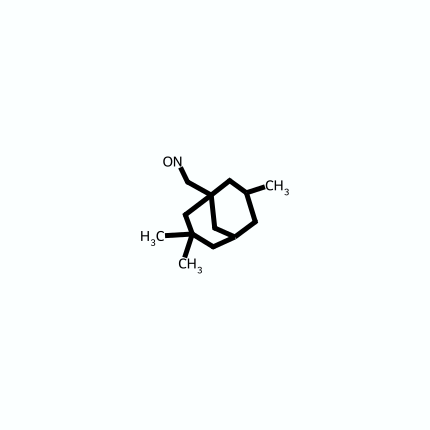 CC1CC2CC(C)(C)CC(CN=O)(C1)C2